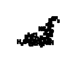 Cc1ncc(Cl)c(C(C)Oc2ccc3[nH]nc(-c4cnc(N5CC(CC(F)(F)F)C5)c(C#N)c4)c3c2)c1Cl